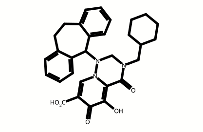 O=C(O)c1cn2c(c(O)c1=O)C(=O)N(CC1CCCCC1)CN2C1c2ccccc2CCc2ccccc21